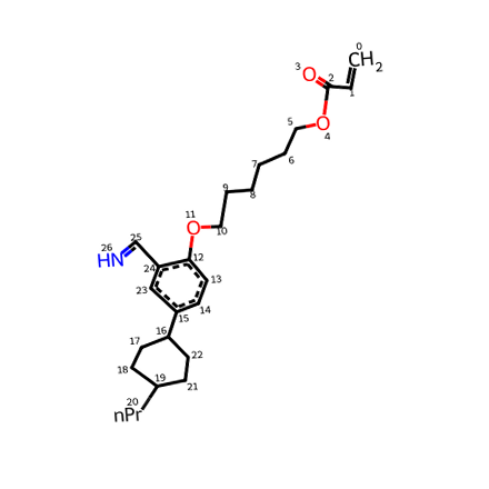 C=CC(=O)OCCCCCCOc1ccc(C2CCC(CCC)CC2)cc1C=N